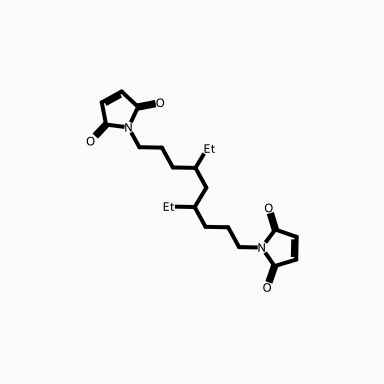 CCC(CCCN1C(=O)C=CC1=O)CC(CC)CCCN1C(=O)C=CC1=O